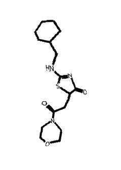 O=C1N=C(NCC2CCCCC2)SC1CC(=O)N1CCOCC1